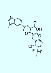 CN(/C=C(/C(=O)O)C(=O)N(C=O)Cc1cccc(C(F)(F)F)c1Cl)c1ccc2ncn(C)c2c1